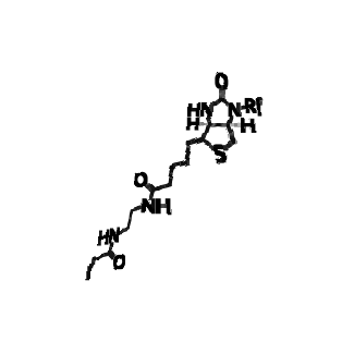 O=C(CI)NCCNC(=O)CCCCC1SC[C@H]2[C@@H]1NC(=O)[N]2[Rf]